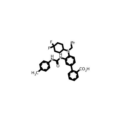 Cc1ccc(NC(=O)Nc2cc(-c3ccccc3C(=O)O)ccc2N(CC(C)C)C2CCC(F)(F)CC2)cc1